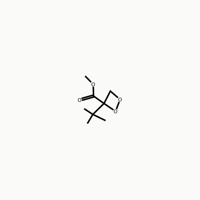 COC(=O)C1(C(C)(C)C)COO1